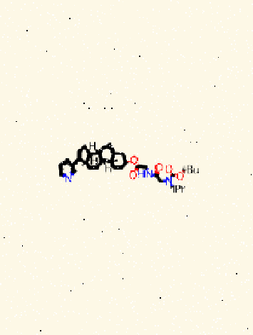 CC(C)N(CC(=O)NCC(=O)O[C@H]1CC[C@@]2(C)C(=CC[C@@H]3[C@@H]2CC[C@]2(C)C(c4cccnc4)=CC[C@@H]32)C1)C(=O)OC(C)(C)C